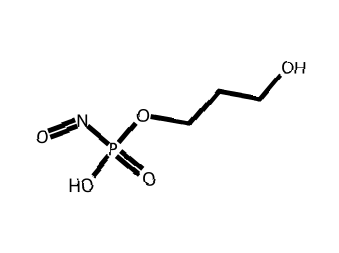 O=NP(=O)(O)OCCCO